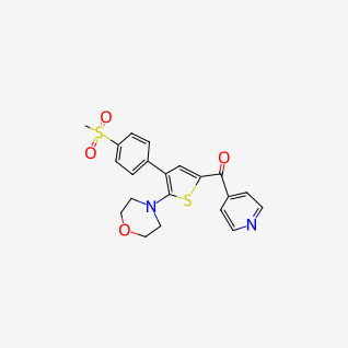 CS(=O)(=O)c1ccc(-c2cc(C(=O)c3ccncc3)sc2N2CCOCC2)cc1